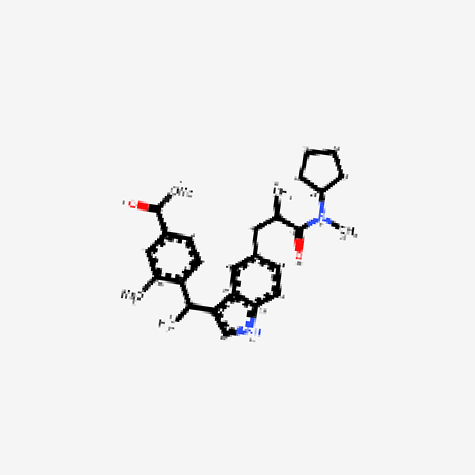 COC(=O)c1ccc(C(C)c2c[nH]c3ccc(CC(C)C(=O)N(C)C4CCCC4)cc23)c(OC)c1